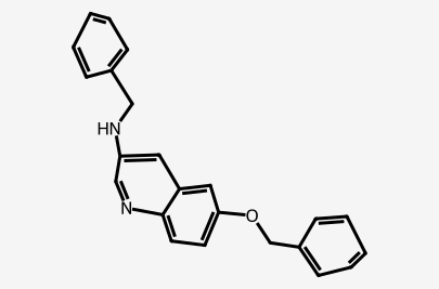 c1ccc(CNc2cnc3ccc(OCc4ccccc4)cc3c2)cc1